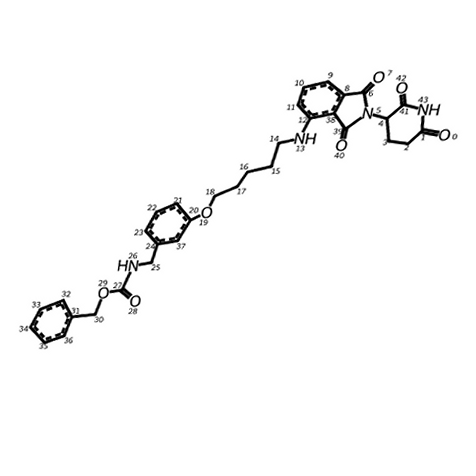 O=C1CCC(N2C(=O)c3cccc(NCCCCCOc4cccc(CNC(=O)OCc5ccccc5)c4)c3C2=O)C(=O)N1